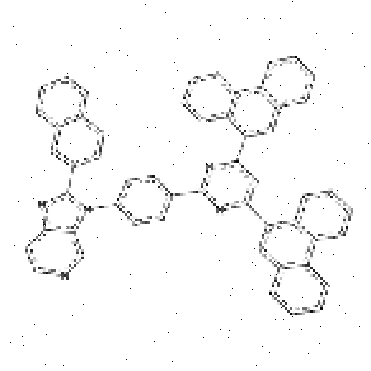 c1ccc2cc(-c3nc4ccncc4n3-c3ccc(-c4nc(-c5cc6ccccc6c6ccccc56)nc(-c5cc6ccccc6c6ccccc56)n4)cc3)ccc2c1